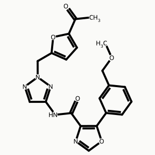 COCc1cccc(-c2ocnc2C(=O)Nc2cnn(Cc3ccc(C(C)=O)o3)n2)c1